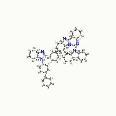 c1ccc(-c2ccc(-n3c(-c4ccc(-c5ccc6c7ccccc7n(-c7nc8ccccc8c8nc9ccccc9n78)c6c5)cc4)nc4ccccc43)cc2)cc1